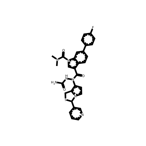 CN(C)C(=O)n1cc(C(=O)N(NC(N)=O)c2ccn3c2CSC3c2cccnc2)c2ccc(-c3ccc(F)cc3)cc21